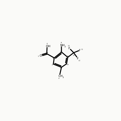 Cc1cc(C(=O)O)c(N)c(C(F)(F)F)c1